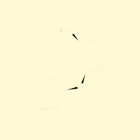 C[C@H]1CCO[C@@H](O[C@@H]2CCCOC2)C1